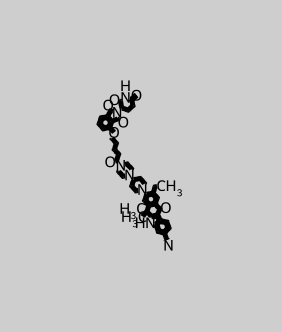 CCc1cc2c(cc1N1CCC(N3CCN(C(=O)CCCCOc4cccc5c4C(=O)N(C4CCC(=O)NC4=O)C5=O)CC3)CC1)C(C)(C)c1[nH]c3cc(C#N)ccc3c1C2=O